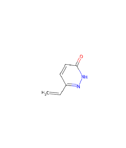 C=Cc1ccc(=O)[nH]n1